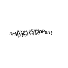 CCCCCCC[C@]1(C#N)CC[C@H](c2ccc(-c3ccc(CCCCC)cc3)cc2)CC1